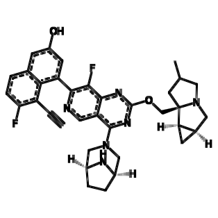 C#Cc1c(F)ccc2cc(O)cc(-c3ncc4c(N5C[C@H]6CC[C@@H](C5)N6)nc(OC[C@@]56CC(C)CN5C[C@H]5C[C@H]56)nc4c3F)c12